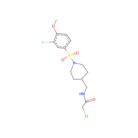 COc1ccc(S(=O)(=O)N2CCC(CNC(=O)CCl)CC2)cc1F